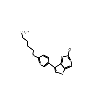 CCOC(=O)CCCCOc1ccc(-c2csc3cnc(Cl)nc23)cn1